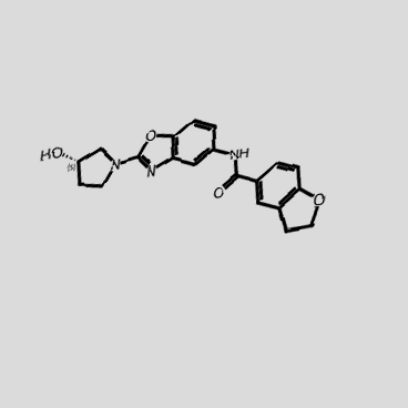 O=C(Nc1ccc2oc(N3CC[C@H](O)C3)nc2c1)c1ccc2c(c1)CCO2